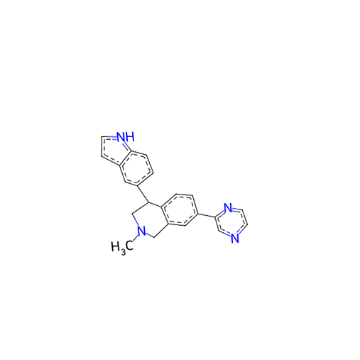 CN1Cc2cc(-c3cnccn3)ccc2C(c2ccc3[nH]ccc3c2)C1